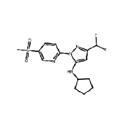 CS(=O)(=O)c1ccc(-n2nc(C(F)F)cc2NC2CCCC2)nc1